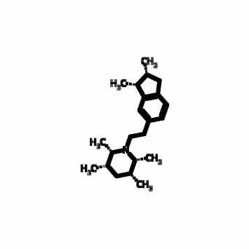 C[C@@H]1C[C@H](C)[C@H](C)N(CCc2ccc3c(c2)[C@H](C)[C@H](C)C3)[C@@H]1C